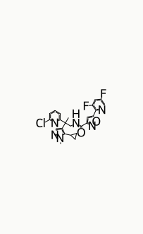 Cn1ncc(C(C)(CNC(=O)c2cc(-c3ncc(F)cc3F)on2)c2cccc(Cl)n2)c1C1CC1